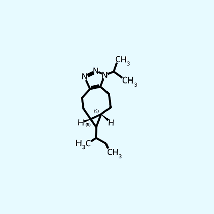 CCC(C)C1[C@H]2CCc3c(nnn3C(C)C)CC[C@@H]12